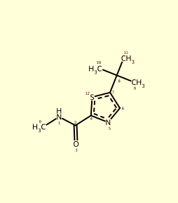 CNC(=O)c1ncc(C(C)(C)C)s1